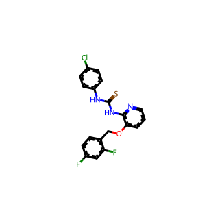 Fc1ccc(COc2cccnc2NC(=S)Nc2ccc(Cl)cc2)c(F)c1